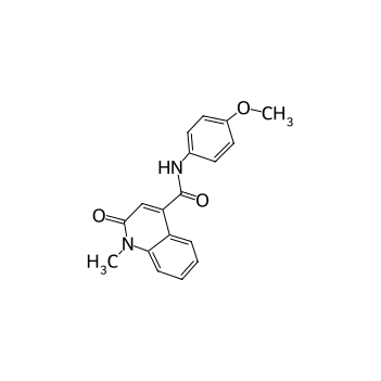 COc1ccc(NC(=O)c2cc(=O)n(C)c3ccccc23)cc1